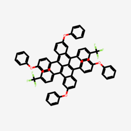 FC(F)(F)c1ccc(-c2c3cc(Oc4ccccc4)ccc3c(-c3ccc(Oc4ccccc4)cc3)c3c(-c4ccc(C(F)(F)F)cc4)c4cc(Oc5ccccc5)ccc4c(-c4ccc(Oc5ccccc5)cc4)c23)cc1